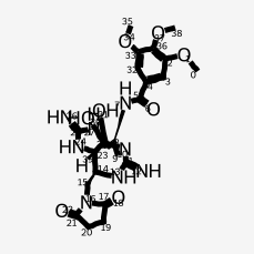 COc1cc(C(=O)N[C@H]2CN3C(=N)N[C@@H](CN4C(=O)CCC4=O)[C@@H]4NC(=N)N[C@@]43C2(O)O)cc(OC)c1OC